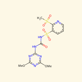 COc1nc(NC(=O)NS(=O)(=O)c2cccnc2S(C)(=O)=O)nc(OC)n1